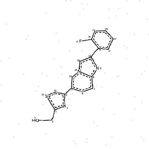 OCc1nc(-c2ccc3nc(-c4ccccc4F)cn3c2)cs1